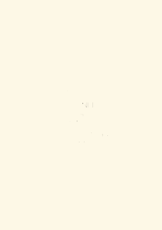 [2H][C@@](C)(NC(=O)OC)C(=O)O